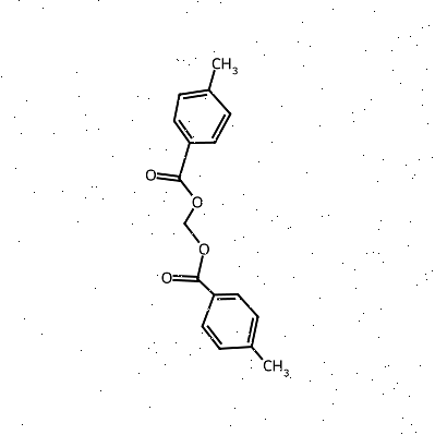 Cc1ccc(C(=O)OCOC(=O)c2ccc(C)cc2)cc1